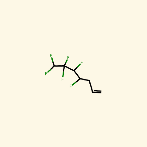 C=CCC(F)C(F)C(F)(F)C(F)F